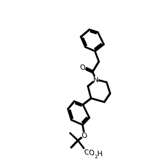 CC(C)(Oc1cccc(C2CCCN(C(=O)Cc3ccccc3)C2)c1)C(=O)O